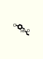 C=CC(=O)NCc1ccc(Cl)cc1